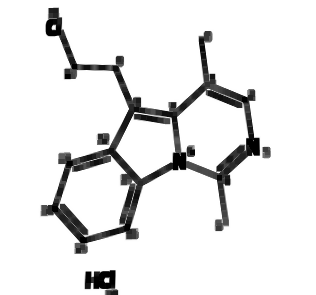 Cc1cnc(C)n2c1c(CCCl)c1ccccc12.Cl